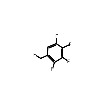 FCc1cc(F)c(F)c(F)c1F